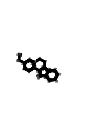 CCOc1ccc2[n+](c1)CCc1c-2[nH]c2ccccc12